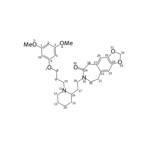 COc1cc(OC)cc(OCCCN2CCCCC2CCN2CCc3cc4c(cc3CC2=O)OCO4)c1